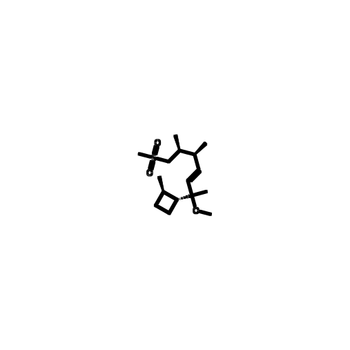 COC(C)(/C=C/[C@H](C)[C@H](C)CS(C)(=O)=O)[C@@H]1CC[C@H]1C